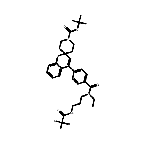 CCN(CCCNC(=O)C(F)(F)F)C(=O)c1ccc(C2=CC3(CCN(C(=O)OC(C)(C)C)CC3)Oc3ccccc32)cc1